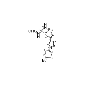 CCc1ccc(-n2cc(-c3ccc4[nH]cc(NC=O)c4c3)cn2)cc1